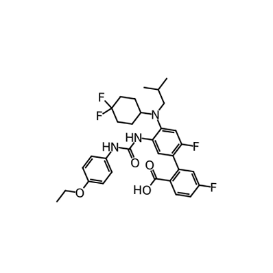 CCOc1ccc(NC(=O)Nc2cc(-c3cc(F)ccc3C(=O)O)c(F)cc2N(CC(C)C)C2CCC(F)(F)CC2)cc1